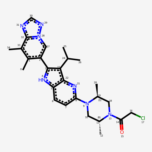 Cc1c(-c2[nH]c3ccc(N4C[C@@H](C)N(C(=O)CCl)C[C@@H]4C)nc3c2C(C)C)cn2ncnc2c1C